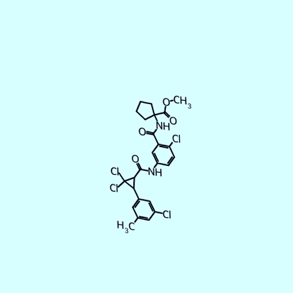 COC(=O)C1(NC(=O)c2cc(NC(=O)C3C(c4cc(C)cc(Cl)c4)C3(Cl)Cl)ccc2Cl)CCCC1